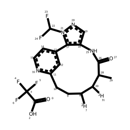 O=C(O)C(F)(F)F.[2H]C1CCc2cc(ccn2)-c2c(cnn2C(F)F)NC(=O)C(C)C1[2H]